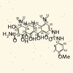 COc1ccc(NC(=O)Nc2cc(N(C)C)c3c(c2O)C(=O)C2=C(O)[C@]4(O)C(=O)C(C(N)=O)=C(O)C(N(C)C)[C@H]4C[C@@H]2C3)cc1